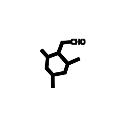 CC1CC(C)C(CC=O)C(C)C1